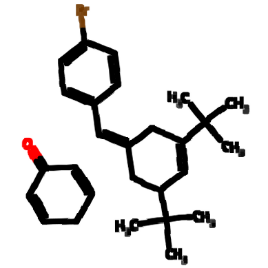 CC(C)(C)C1=CC(C(C)(C)C)CC(=Cc2ccc(Br)cc2)C1.O=C1C=CCC=C1